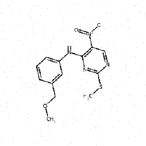 COCc1cccc(Nc2nc(SC)ncc2[N+](=O)[O-])c1